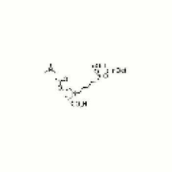 CCCCCCCCC(CCCCCCCC)OC(=O)CCCCCN1CC(OC(=O)CCN(C)C)C[C@H]1C(=O)O